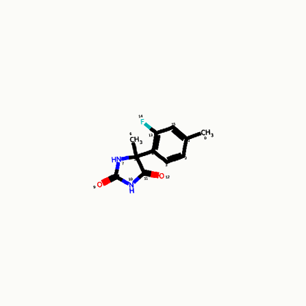 Cc1ccc(C2(C)NC(=O)NC2=O)c(F)c1